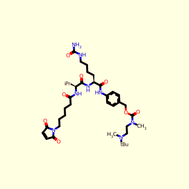 CC(C)[C@H](NC(=O)CCCCCN1C(=O)C=CC1=O)C(=O)N[C@@H](CCCCNC(N)=O)C(=O)Nc1ccc(COC(=O)N(C)CCN(C)C(C)(C)C)cc1